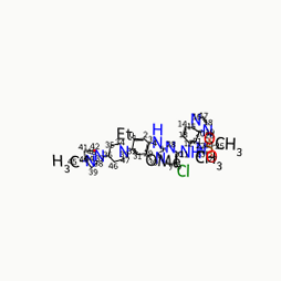 CCc1cc(Nc2ncc(Cl)c(Nc3ccc4nccnc4c3N(C)S(C)(=O)=O)n2)c(OC)cc1N1CCC(N2CC3CCC2CN3C)CC1